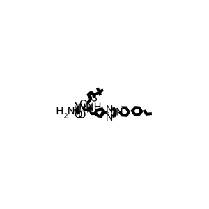 CCC[C@H]1CC[C@H](C2CCN(c3cnc(-c4ccc(C[C@H](NC(=O)c5ccc(C(C)(C)C)s5)C(=O)N[C@H](C)C(N)=O)cc4)nc3)CC2)CC1